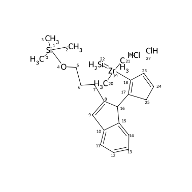 C[Si](C)(C)OCCCC1=Cc2ccccc2C1C1=[C]([Zr]([CH3])([CH3])=[SiH2])C=CC1.Cl.Cl